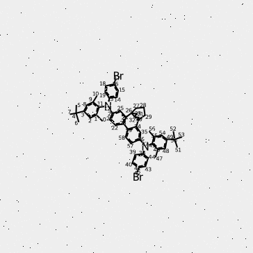 Cc1cc(C(C)(C)C)cc(C)c1N(c1ccc(Br)cc1)c1ccc2c(c1)C13CCCC1(CCC3)c1cc(N(c3ccc(Br)cc3)c3c(C)cc(C(C)(C)C)cc3C)ccc1-2